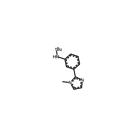 Cn1ccnc1-c1cccc(NC(C)(C)C)c1